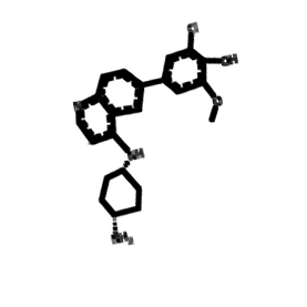 COc1cc(-c2ccc3nc[c]c(N[C@H]4CC[C@@H](N)CC4)c3c2)cc(Cl)c1O